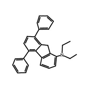 CCN(CC)c1cccc2c1Cc1c(-c3ccccc3)ccc(-c3ccccc3)c1-2